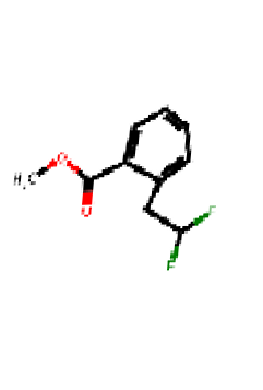 COC(=O)c1ccccc1CC(F)F